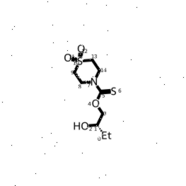 CC[C@H](O)COC(=S)N1CCS(=O)(=O)CC1